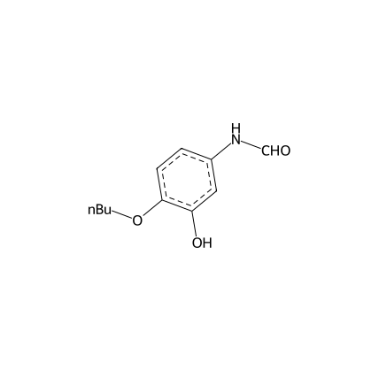 CCCCOc1ccc(NC=O)cc1O